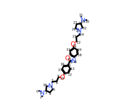 CN(C)[C@H]1CCN(CCCOc2ccc(-c3nc4ccc(OCCCN5CC[C@H](N(C)C)C5)cc4o3)cc2)C1